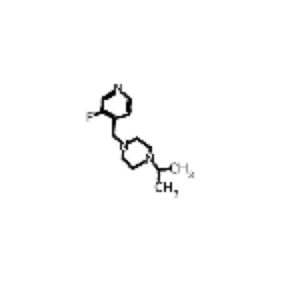 CC(C)N1CCN(Cc2ccncc2F)CC1